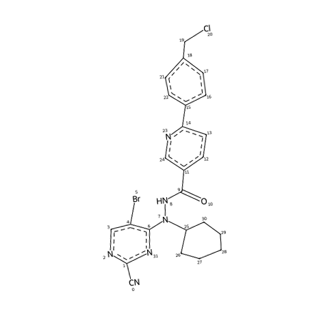 N#Cc1ncc(Br)c(N(NC(=O)c2ccc(-c3ccc(CCl)cc3)nc2)C2CCCCC2)n1